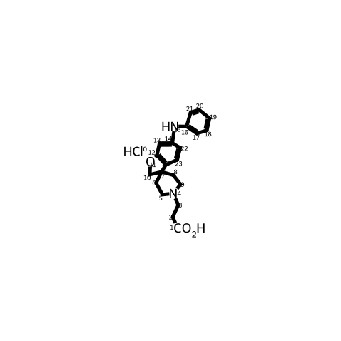 Cl.O=C(O)CCN1CCC2(CC1)COc1cc(Nc3ccccc3)ccc12